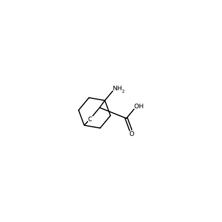 NC12CCC(CC1)CC2C(=O)O